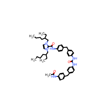 CCCCC(CC)Cn1cc[n+](CC(CC)CCCC)c1C(=O)Nc1ccc(Cc2ccc(NC(=O)Nc3ccc(Cc4ccc(NC(C)=O)cc4)cc3)cc2)cc1